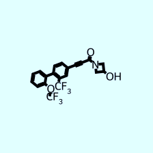 O=C(C#Cc1ccc(-c2ccccc2OC(F)(F)F)c(C(F)(F)F)c1)N1CC(O)C1